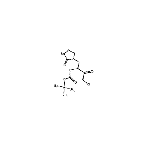 CC(C)(C)OC(=O)NC(CC1CCNC1=O)C(=O)CCl